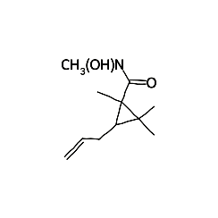 C=CCC1C(C)(C)C1(C)C(=O)N(C)O